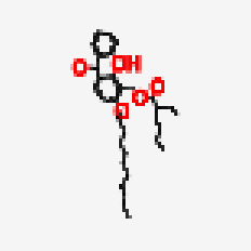 CCCCCCCCCCOc1ccc(C(=O)c2ccccc2)c(O)c1COC(=O)C(CC)CCCC